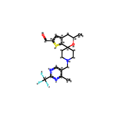 Cc1nc(C(F)(F)F)ncc1CN1CCC2(CC1)OC(C)Cc1cc(C=O)sc12